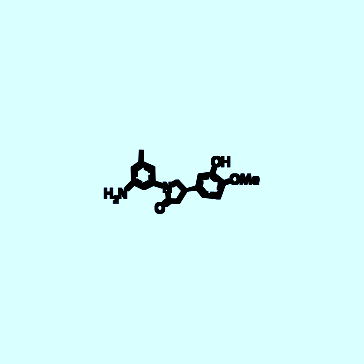 COc1ccc([C@H]2CC(=O)N(c3cc(C)cc(N)c3)C2)cc1O